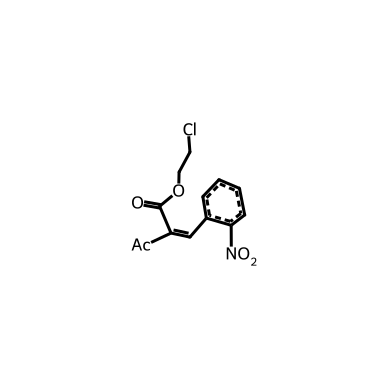 CC(=O)C(=Cc1ccccc1[N+](=O)[O-])C(=O)OCCCl